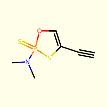 C#CC1=COP(=S)(N(C)C)S1